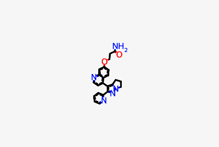 NC(=O)CCOc1ccc2c(-c3c(-c4ccccn4)nn4c3CCC4)ccnc2c1